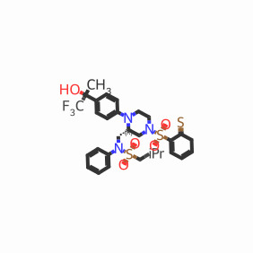 CC(C)CS(=O)(=O)N(C[C@H]1CN(S(=O)(=O)C2=CC=CCC2=S)CCN1c1ccc(C(C)(O)C(F)(F)F)cc1)c1ccccc1